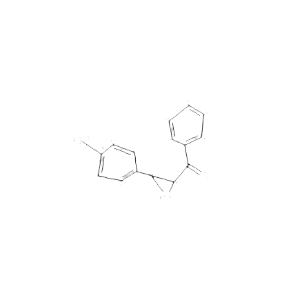 O=C(c1ccccc1)C1OC1c1ccc(Cl)cc1